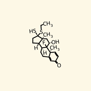 CCS[C@@]1(S)CC[C@H]2[C@@H]3CCC4=CC(=O)C=C[C@]4(C)C3(F)[C@@H](O)C[C@@]21C